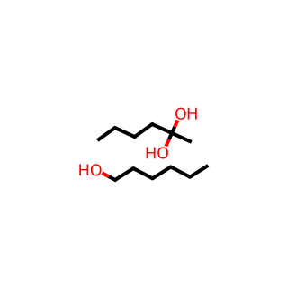 CCCCC(C)(O)O.CCCCCCO